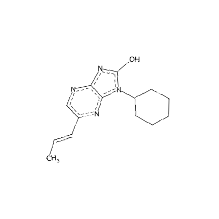 CC=Cc1cnc2nc(O)n(C3CCCCC3)c2n1